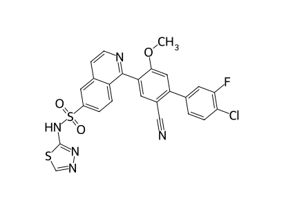 COc1cc(-c2ccc(Cl)c(F)c2)c(C#N)cc1-c1nccc2cc(S(=O)(=O)Nc3nncs3)ccc12